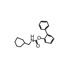 O=C(NCC1CCCCC1)Oc1ccccc1-c1ccccc1